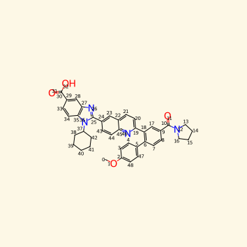 COc1ccc(-c2ccc(C(=O)N3CCCC3)cc2-c2ccc3cc(-c4nc5cc(C(=O)O)ccc5n4C4CCCCC4)ccc3n2)cc1